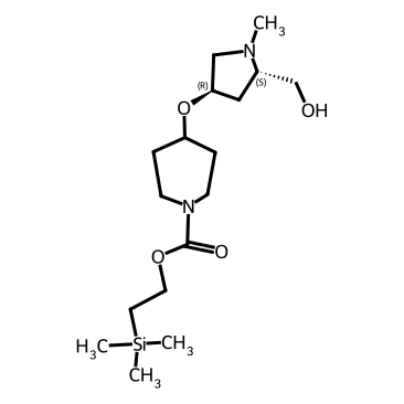 CN1C[C@H](OC2CCN(C(=O)OCC[Si](C)(C)C)CC2)C[C@H]1CO